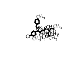 CCCC(C)(CC)C(NC(=O)c1nn(Cc2ccc(C)cc2)c(-c2ccc(Cl)c(C)c2)c1C)C(C)(C)C